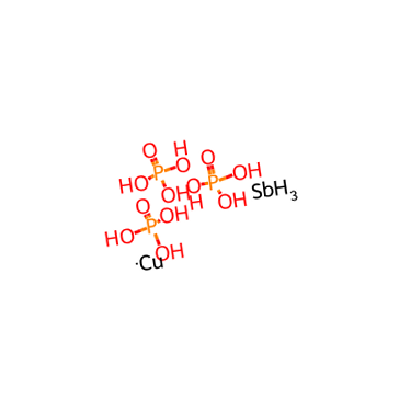 O=P(O)(O)O.O=P(O)(O)O.O=P(O)(O)O.[Cu].[SbH3]